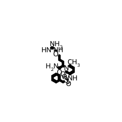 Cc1ccc(NS(=O)(=O)Cc2ccccc2)c(=O)n1C(CCCONC(=N)N)C(N)=O